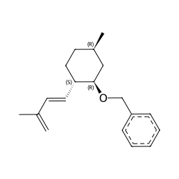 C=C(C)C=C[C@@H]1CC[C@@H](C)C[C@H]1OCc1ccccc1